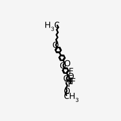 CCCCCCCCOc1ccc(-c2ccc(C(=O)Oc3ccc(C(=O)O[C@H](CCCOCC)C(F)(F)F)c(F)c3)cc2)cc1